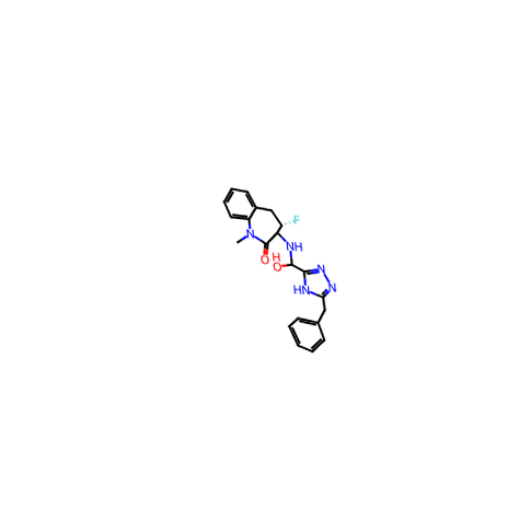 CN1C(=O)C(NC(O)c2nnc(Cc3ccccc3)[nH]2)[C@@H](F)Cc2ccccc21